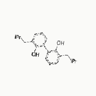 CC(C)Cc1cccc(-c2cccc(CC(C)C)c2O)c1O